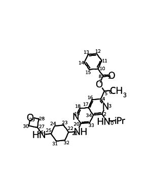 CC(C)Nc1nc(C(C)OC(=O)c2ccccc2)cc2cnc(NC3CCC(NC4COC4)CC3)cc12